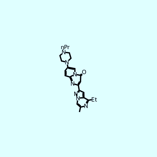 CCCN1CCN(c2ccc3nc(-c4cc5c(CC)nc(C)cn5n4)cc(=O)n3c2)CC1